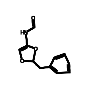 O=CNC1=COC(Cc2ccccc2)O1